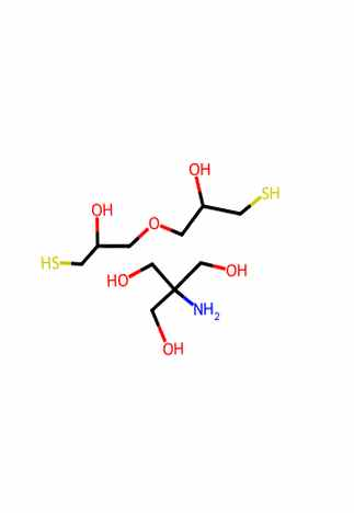 NC(CO)(CO)CO.OC(CS)COCC(O)CS